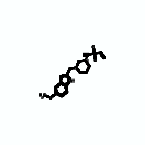 C=CS(=O)(=O)N[C@@H]1CCCN(Cc2cc3cc(OC(F)(F)F)ccc3[nH]2)C1